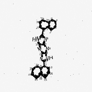 c1ccc2c(-c3nc4nc5[nH]c(-c6cccc7ccccc67)nc5nc4[nH]3)cccc2c1